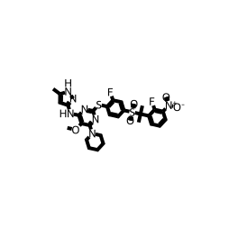 COc1c(Nc2cc(C)[nH]n2)nc(Sc2ccc(S(=O)(=O)C(C)(C)c3cccc([N+](=O)[O-])c3F)cc2F)nc1N1CCCCC1